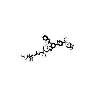 C=N\C(N)=C/C=C(C)/C=C/C(=O)NCc1cc2cc(-c3ccc(C(=O)N4CCC(F)(F)CC4)cn3)cc(-c3cc4ccccc4o3)c2o1